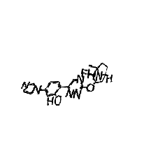 C[C@]12CC[C@H](C[C@@H](Oc3ncc(-c4ccc(-n5ccnc5)cc4O)nn3)[C@H]1F)N2